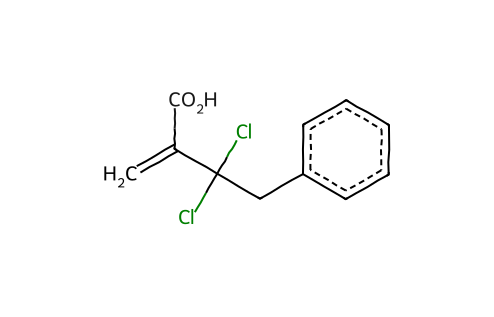 C=C(C(=O)O)C(Cl)(Cl)Cc1ccccc1